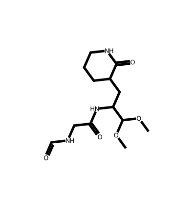 COC(OC)C(CC1CCCNC1=O)NC(=O)CNC=O